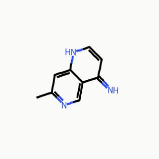 Cc1cc2[nH]ccc(=N)c2cn1